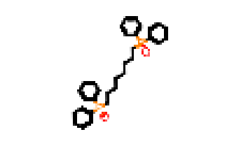 O=P(CCCCCCCCP(=O)(c1ccccc1)c1ccccc1)(c1ccccc1)c1ccccc1